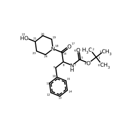 CC(C)(C)OC(=O)NC(Cc1ccccc1)C(=O)N1CCC(O)CC1